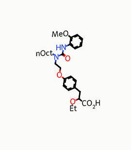 CCCCCCCCN(CCOc1ccc(CC(OCC)C(=O)O)cc1)C(=O)Nc1ccccc1OC